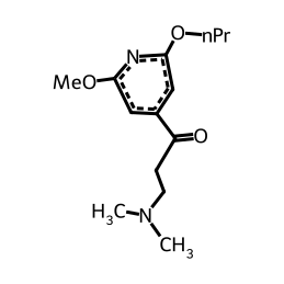 CCCOc1cc(C(=O)CCN(C)C)cc(OC)n1